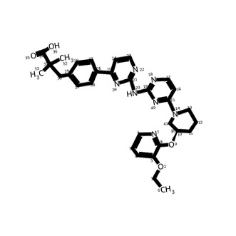 CCOc1cccnc1O[C@@H]1CCCN(c2ccnc(Nc3nccc(-c4ccc(CC(C)(C)C(=O)O)cc4)n3)n2)C1